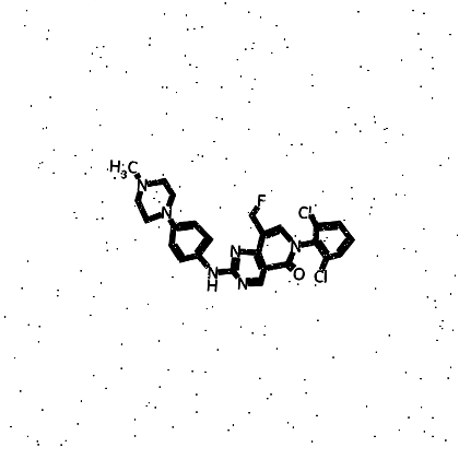 CN1CCN(c2ccc(Nc3ncc4c(=O)n(-c5c(Cl)cccc5Cl)cc(CF)c4n3)cc2)CC1